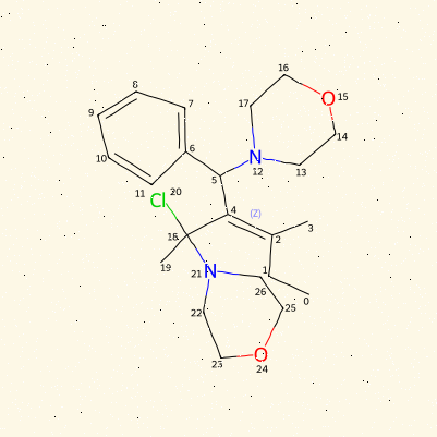 CC/C(C)=C(/C(c1ccccc1)N1CCOCC1)C(C)(Cl)N1CCOCC1